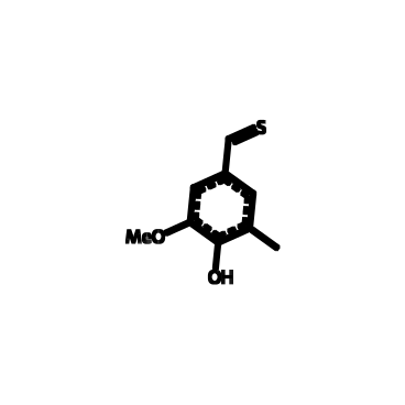 COc1cc(C=S)cc(C)c1O